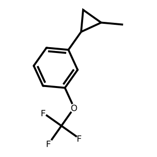 CC1CC1c1cccc(OC(F)(F)F)c1